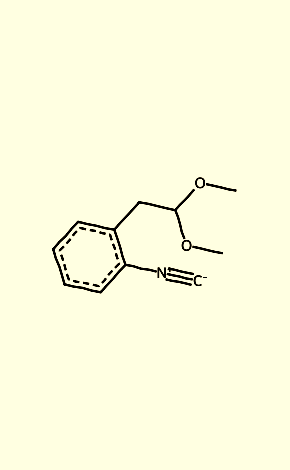 [C-]#[N+]c1ccccc1CC(OC)OC